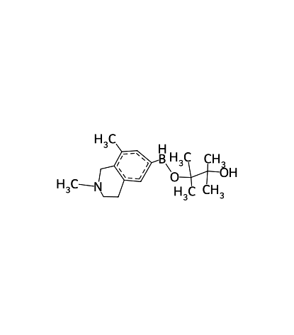 Cc1cc(BOC(C)(C)C(C)(C)O)cc2c1CN(C)CC2